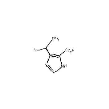 NC(Br)c1nc[nH]c1C(=O)O